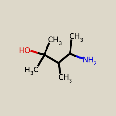 CC(N)C(C)C(C)(C)O